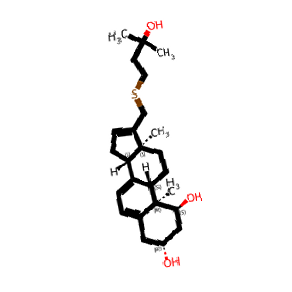 CC(C)(O)CCSCC1=CC[C@H]2C3=CC=C4C[C@@H](O)C[C@H](O)[C@]4(C)[C@H]3CC[C@]12C